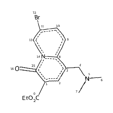 CCOC(=O)c1cc(CN(C)C)c2ccc(Br)cn2c1=O